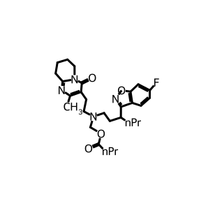 CCCC(=O)OCN(CCc1c(C)nc2n(c1=O)CCCC2)CCC(CCC)c1noc2cc(F)ccc12